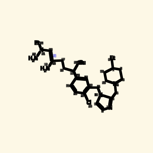 CCC1CCN(Cc2nccn2Cc2cc(C(CC/C(N)=C/N(N)CC)C(C)(C)C)ccc2Cl)CC1